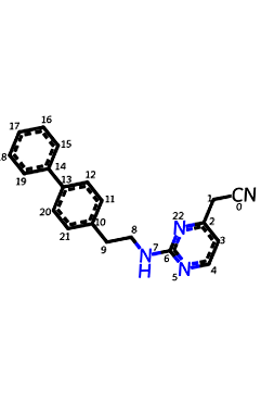 N#CCc1ccnc(NCCc2ccc(-c3ccccc3)cc2)n1